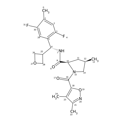 Cc1cc(F)c([C@H](NC(=O)[C@H]2C[C@@H](C)CN2C(=O)c2onc(C)c2C)C2COC2)cc1F